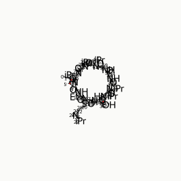 C/C=C/C[C@@H](C)C[C@H]1C(=O)N[C@@H](CC)C(=O)N(C)[C@H](CSCCCCN(C)CC(C)C)C(=O)N(C)[C@@H](CC(C)(C)O)C(=O)N[C@@H](C(C)C)C(=O)N(C)[C@@H](CC(C)C)C(=O)N[C@@H](C)C(=O)N[C@H](C)C(=O)N(C)[C@@H](CC(C)C)C(=O)N(C)[C@@H](CC(C)C)C(=O)N(C)[C@@H](C(C)C)C(=O)N1C